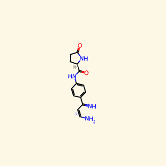 N=C(/C=C\N)c1ccc(NC(=O)[C@H]2CCC(=O)N2)cc1